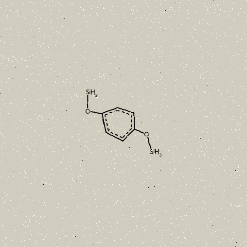 [SiH3]Oc1ccc(O[SiH3])cc1